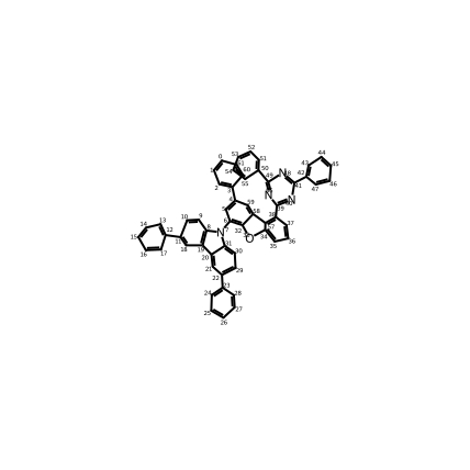 c1ccc(-c2cc(-n3c4ccc(-c5ccccc5)cc4c4cc(-c5ccccc5)ccc43)c3oc4cccc(-c5nc(-c6ccccc6)nc(-c6ccccc6)n5)c4c3c2)cc1